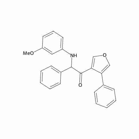 COc1cccc(NC(C(=O)c2cocc2-c2ccccc2)c2ccccc2)c1